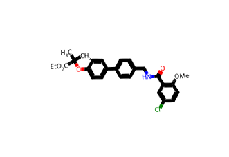 CCOC(=O)C(C)(C)Oc1ccc(-c2ccc(CNC(=O)c3cc(Cl)ccc3OC)cc2)cc1